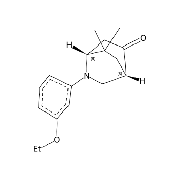 CCOc1cccc(N2C[C@@H]3CC(C)(C)[C@H]2CC3=O)c1